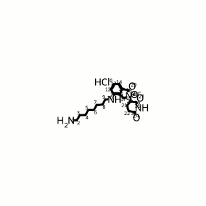 Cl.NCCCCCCCCNc1cccc2c1C[N+]([O-])(C1CCC(=O)NC1=O)C2=O